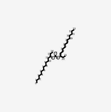 CCCCCCCCCCCCC(CC)OC(=O)OC(CC)CCCCCCCCCCCC